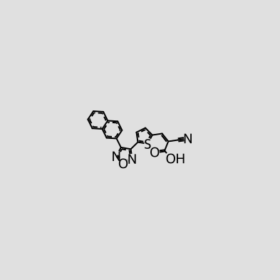 N#CC(=Cc1ccc(-c2nonc2-c2ccc3ccccc3c2)s1)C(=O)O